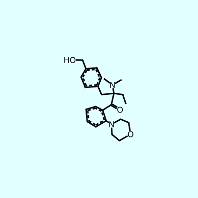 CCC(Cc1ccc(CO)cc1)(C(=O)c1ccccc1N1CCOCC1)N(C)C